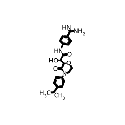 CC(C)c1ccc(N2CCO[C@H]([C@@H](O)C(=O)Nc3ccc(C(=N)N)cc3)C2=O)cc1